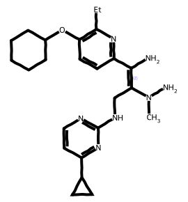 CCc1nc(/C(N)=C(\CNc2nccc(C3CC3)n2)N(C)N)ccc1OC1CCCCC1